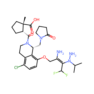 CC(C)N(N)/C(=C(\N)COc1ccc(Cl)c2c1[C@@H](CN1CCCC1=O)N(C(=O)[C@@H]1CCC[C@]1(C)C(=O)O)CC2)C(F)F